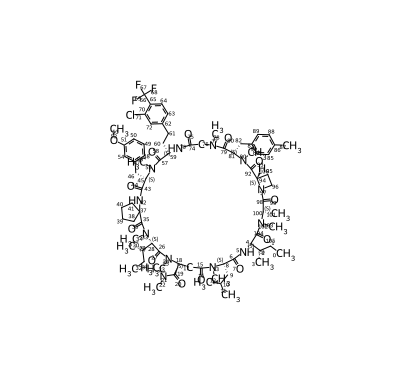 CC[C@H](C)[C@@H]1NC(=O)[C@H](CC(C)C)N(C)C(=O)C[C@@H](C(=O)N(C)C)N(C)C(=O)[C@H]([C@@H](C)CC)N(C)C(=O)C2(CCCC2)NC(=O)[C@H](Cc2cccc(OC)c2)N(C)C(=O)[C@H](CCc2ccc(C(F)(F)F)c(Cl)c2)NC(=O)CN(C)C(=O)[C@H](Cc2ccc(C)cc2)N(C)C(=O)[C@@H]2CCN2C(=O)[C@H](C)N(C)C1=O